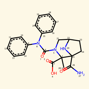 CC1(C(=O)O)N(C(=O)N(c2ccccc2)c2ccccc2)CC2CCC1(C(N)=O)N2